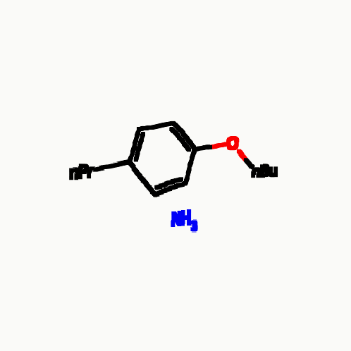 CCCCOc1ccc(CCC)cc1.N